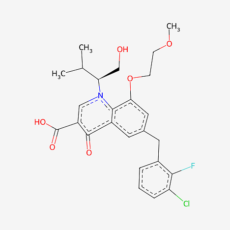 COCCOc1cc(Cc2cccc(Cl)c2F)cc2c(=O)c(C(=O)O)cn([C@H](CO)C(C)C)c12